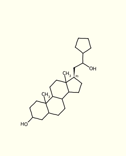 CC12CCC(O)CC1CCC1C2CCC2(C)C1CC[C@@H]2CC(O)C1CCCC1